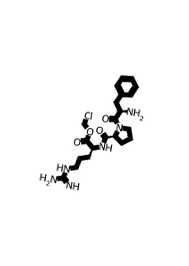 N=C(N)NCCC[C@H](NC(=O)[C@@H]1CCCN1C(=O)[C@H](N)Cc1ccccc1)C(=O)OCCl